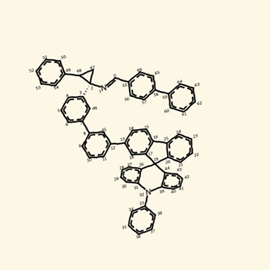 C(=N\[C@]1(c2cccc(-c3cccc(-c4ccc5c(c4)C4(c6ccccc6-5)c5ccccc5N(c5ccccc5)c5ccccc54)c3)c2)CC1c1ccccc1)/c1ccc(-c2ccccc2)cc1